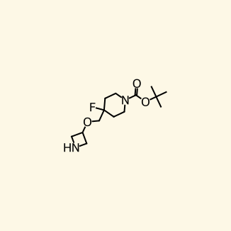 CC(C)(C)OC(=O)N1CCC(F)(COC2CNC2)CC1